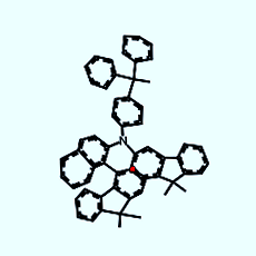 CC1(C)c2ccccc2-c2cc(N(c3ccc(C(C)(c4ccccc4)c4ccccc4)cc3)c3ccc4ccccc4c3-c3cccc4c3-c3ccccc3C4(C)C)ccc21